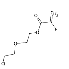 C=C(F)C(=O)OCCOCCCl